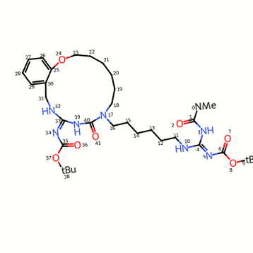 CNC(=O)N/C(=N\C(=O)OC(C)(C)C)NCCCCCCN1CCCCCCOc2ccccc2CN/C(=N/C(=O)OC(C)(C)C)NC1=O